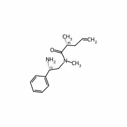 C=CC[C@@H](C)C(=O)N(C)C[C@@H](N)c1ccccc1